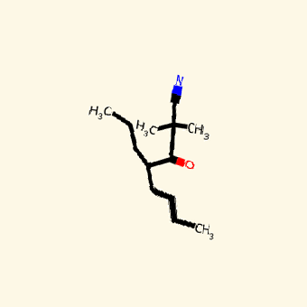 CCCCC(CCC)C(=O)C(C)(C)C#N